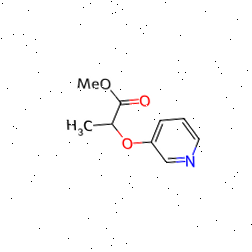 COC(=O)C(C)Oc1cccnc1